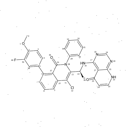 COc1ccc(-c2cccc3c(Cl)c([C@H](C)Nc4ncnc5[nH]ccc(=O)c45)n(-c4ccccc4)c(=O)c23)cc1F